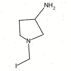 NC1CCN(CI)C1